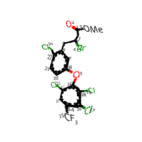 COC(=O)C(Br)Cc1cc(Oc2c(Cl)cc(C(F)(F)F)c(Cl)c2Cl)ccc1Cl